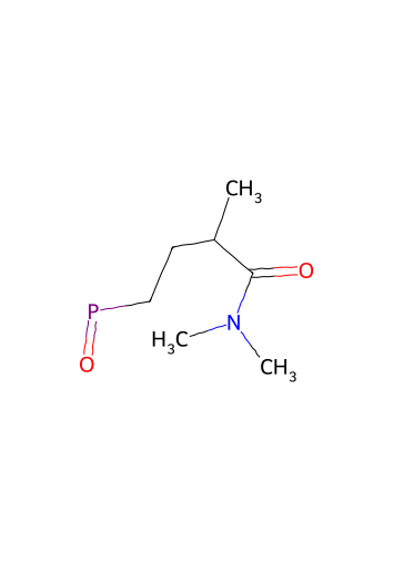 CC(CCP=O)C(=O)N(C)C